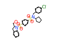 O=CC1Cc2ccccc2N1S(=O)(=O)c1ccc(S(=O)(=O)N(Cc2ccc(Cl)cc2)C2CCCC2)cc1